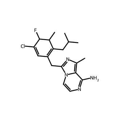 Cc1nc(CC2=C(CC(C)C)C(C)C(F)C(Cl)=C2)n2ccnc(N)c12